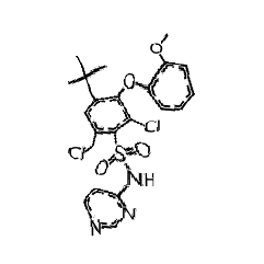 COc1ccccc1Oc1c(C(C)(C)C)cc(Cl)c(S(=O)(=O)Nc2ccncn2)c1Cl